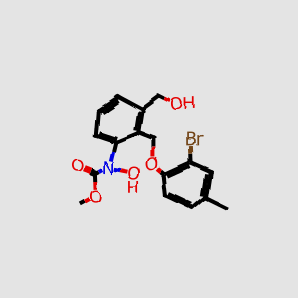 COC(=O)N(O)c1cccc(CO)c1COc1ccc(C)cc1Br